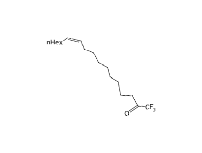 CCCCCC/C=C\CCCCCCCCC(=O)C(F)(F)F